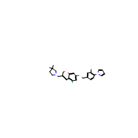 CC1(C(=O)O)CCN(CC2=Cc3c(F)cc(OCc4ccc(-n5cccc5)c(C(F)(F)F)c4)cc3OC2)C1